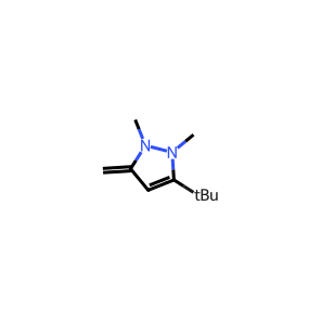 C=C1C=C(C(C)(C)C)N(C)N1C